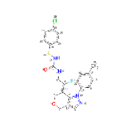 O=C(NC/C(F)=C1\COCc2cnn(-c3ccc(C(F)(F)F)cc3)c21)NSc1ccc(Cl)cc1